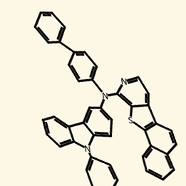 c1ccc(-c2ccc(N(c3ccc4c(c3)c3ccccc3n4-c3ccccc3)c3nccc4c3sc3c5ccccc5ccc43)cc2)cc1